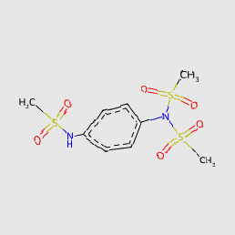 CS(=O)(=O)Nc1ccc(N(S(C)(=O)=O)S(C)(=O)=O)cc1